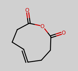 O=C1CC/C=C/CCC(=O)O1